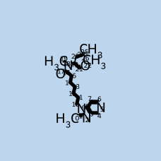 Cc1nc2cnccc2n1CCCCCCC(=O)N(C)[C@H](C=O)CC(C)C